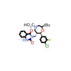 CC(C)(C)C1CN(C(=O)O)C[C@@H](Cn2c(=O)[nH]c3ccccc3c2=O)[C@H](c2ccc(Cl)c(F)c2)O1